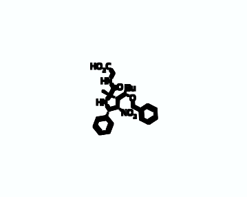 CC[C@H](C)[C@H](OCc1ccccc1)[C@@H]1[C@H]([N+](=O)[O-])[C@H](c2ccccc2)N[C@]1(C)C(=O)NCC(=O)O